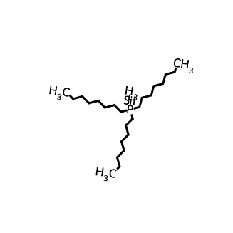 CCCCCCCC[PH]([SiH3])(CCCCCCCC)CCCCCCCC